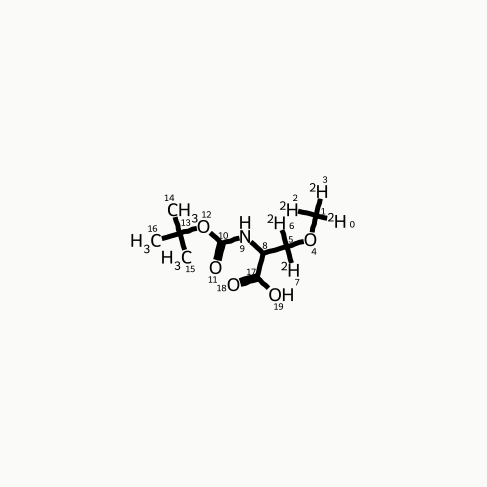 [2H]C([2H])([2H])OC([2H])([2H])C(NC(=O)OC(C)(C)C)C(=O)O